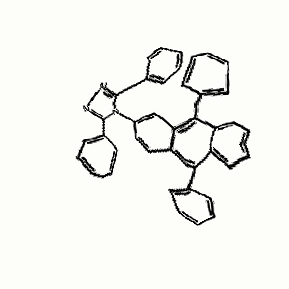 c1ccc(-c2c3ccccc3c(-c3ccccc3)c3cc(-n4c(-c5ccccc5)nnc4-c4ccccc4)ccc23)cc1